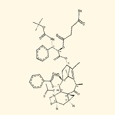 CC(=O)O[C@@]12CO[C@@H]1C[C@@H]1C[C@@]13C(=O)[C@H](C)C1=C(C)[C@@H](OC(=O)[C@H](OC(=O)CCC(=O)O)[C@@H](NC(=O)OC(C)(C)C)c4ccccc4)C[C@@](O)([C@@H](OC(=O)c4ccccc4)[C@H]23)C1(C)C